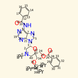 CC(C)N1C[C@H](n2cnc3c(NC(=O)c4ccccc4)ncnc32)O[C@@](COC(=O)c2ccccc2)(CO[Si](C(C)C)(C(C)C)C(C)C)C1